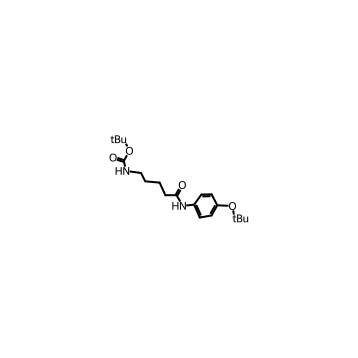 CC(C)(C)OC(=O)NCCCCC(=O)Nc1ccc(OC(C)(C)C)cc1